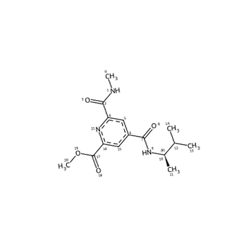 CNC(=O)c1cc(C(=O)N[C@H](C)C(C)C)cc(C(=O)OC)n1